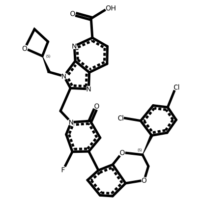 O=C(O)c1ccc2nc(Cn3cc(F)c(-c4cccc5c4O[C@@H](c4ccc(Cl)cc4Cl)CO5)cc3=O)n(C[C@@H]3CCO3)c2n1